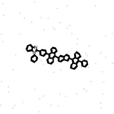 c1ccc(-c2c3ccccc3c(-c3ccc4cc(-c5c6ccccc6c(-c6ccc(-c7nc8ccccc8n7-c7ccccc7)cc6)c6ccccc56)ccc4c3)c3ccccc23)cc1